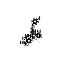 Cc1cc2nn[nH]c2c(C(N)=O)c1NC(=O)c1cc(COCc2ccc(Cl)cc2)nn1-c1ncccc1Cl